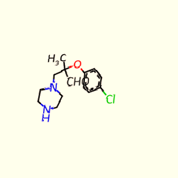 CC(C=O)(CN1CCNCC1)Oc1ccc(Cl)cc1